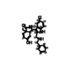 CC12C=CC(O)=CC1C(c1c(CNCc3ccccc3)[nH]c3ccc(Cl)cc13)NC2=O